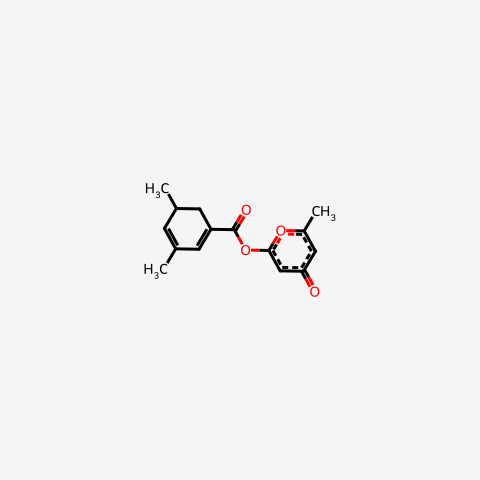 CC1=CC(C)CC(C(=O)Oc2cc(=O)cc(C)o2)=C1